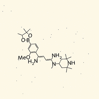 COc1cc(B2OC(C)C(C)(C)O2)ccc1/C(N)=C/C=C(\N)N(C)C1CC(C)(C)NC(C)(C)C1